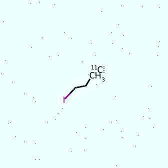 CCCI.[11C]